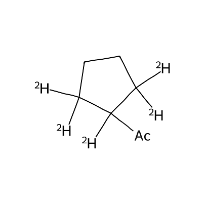 [2H]C1([2H])CCC([2H])([2H])C1([2H])C(C)=O